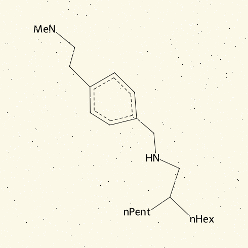 CCCCCCC(CCCCC)CNCc1ccc(CCNC)cc1